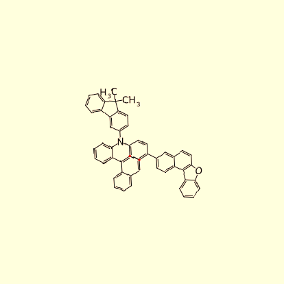 CC1(C)c2ccccc2-c2cc(N(c3ccc(-c4ccc5c(ccc6oc7ccccc7c65)c4)cc3)c3ccccc3-c3cccc4ccccc34)ccc21